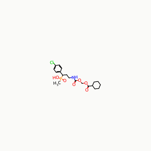 CP(=O)(O)C(CCNC(=O)OCOC(=O)C1CCCCC1)c1ccc(Cl)cc1